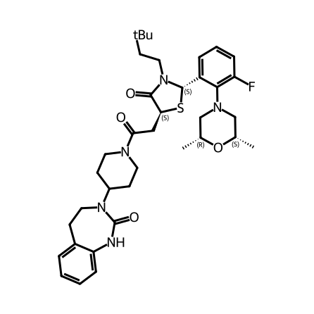 C[C@@H]1CN(c2c(F)cccc2[C@@H]2S[C@@H](CC(=O)N3CCC(N4CCc5ccccc5NC4=O)CC3)C(=O)N2CCC(C)(C)C)C[C@H](C)O1